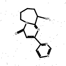 NC1CCCCn2c1nc(-c1ccncn1)cc2=O